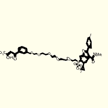 CNC(=O)c1c(-c2ccc(F)cc2)oc2cc(N(CCOCCOCCOCCOCCOCc3cccc(C(=O)/C=C(\O)C(=O)O)c3)S(C)(=O)=O)c(C3CC3)cc12